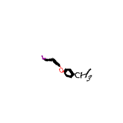 Cc1ccc(OCC#CCI)cc1